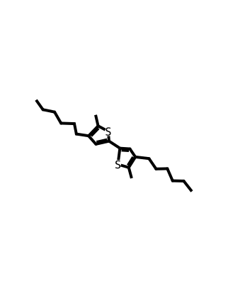 CCCCCCc1cc(-c2cc(CCCCCC)c(C)s2)sc1C